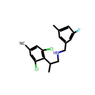 Cc1cc(F)cc(CNCC(C)c2c(Cl)cc(C#N)cc2Cl)c1